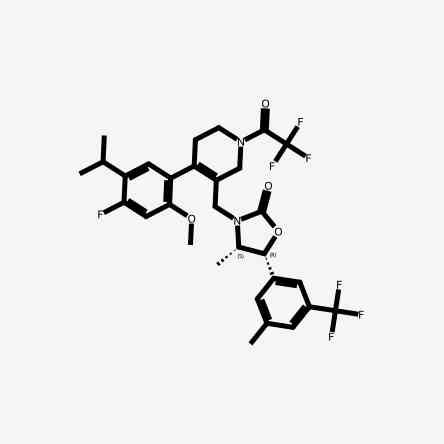 COc1cc(F)c(C(C)C)cc1C1=C(CN2C(=O)O[C@H](c3cc(C)cc(C(F)(F)F)c3)[C@@H]2C)CN(C(=O)C(F)(F)F)CC1